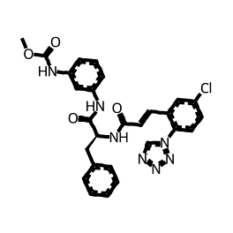 COC(=O)Nc1cccc(NC(=O)[C@H](Cc2ccccc2)NC(=O)C=Cc2cc(Cl)ccc2-n2cnnn2)c1